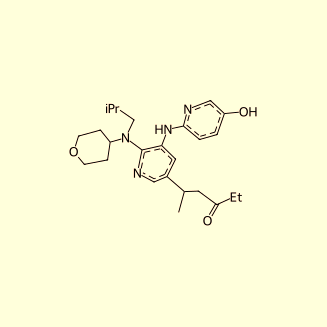 CCC(=O)CC(C)c1cnc(N(CC(C)C)C2CCOCC2)c(Nc2ccc(O)cn2)c1